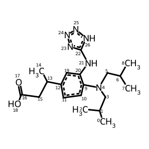 CC(C)CN(CC(C)C)c1ccc(C(C)CC(=O)O)cc1Nc1nnn[nH]1